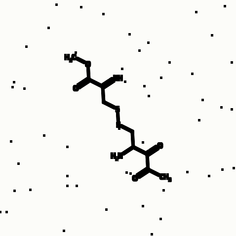 COC(=O)C(=N)CSSCC(N)C(=O)C(C)=O